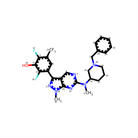 CN(c1ncc2c(-c3cc(C(F)(F)F)c(F)c(O)c3F)nn(C)c2n1)C1CCCN(Cc2ccccc2)C1